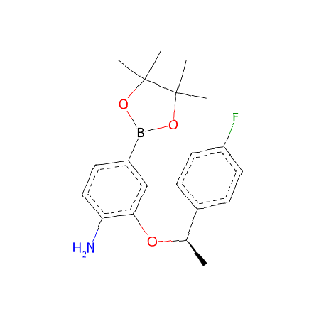 C[C@@H](Oc1cc(B2OC(C)(C)C(C)(C)O2)ccc1N)c1ccc(F)cc1